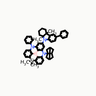 CC12CCCCC1(C)N(c1cc3c4c(c1)N(C15CC6CC1CC6C5)c1cccc5c1B4c1c(cccc1[Si]5(C)C)N3c1ccccc1)c1ccc(-c3ccccc3)cc12